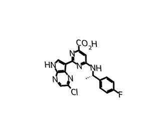 C[C@H](Nc1cc(C(=O)O)nc(-c2c[nH]c3ncc(Cl)nc23)n1)c1ccc(F)cc1